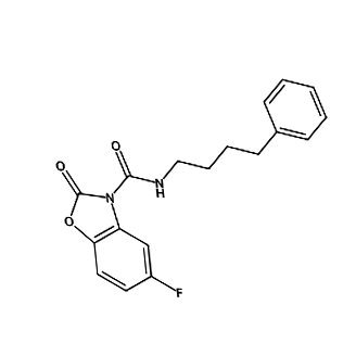 O=C(NCCCCc1ccccc1)n1c(=O)oc2ccc(F)cc21